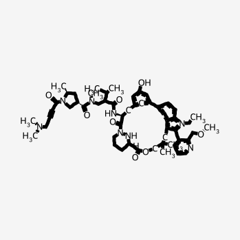 CCn1c(-c2cccnc2COC)c2c3cc(ccc31)-c1cc(O)cc(c1)C[C@H](NC(=O)C(CN(C)C(=O)[C@H]1C[C@@H](C)N(C(=O)C#CCN(C)C)C1)C(C)C)C(=O)N1CCC[C@H](N1)C(=O)OCC(C)(C)C2